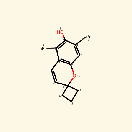 CC(C)c1cc2c(c(C(C)C)c1O)C=CC1(CCC1)O2